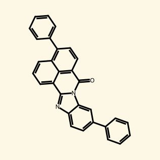 O=c1c2ccc(-c3ccccc3)c3cccc(c32)c2nc3ccc(-c4ccccc4)cc3n12